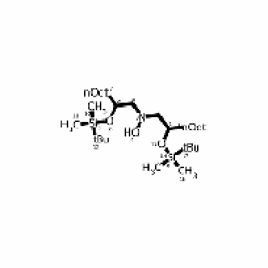 CCCCCCCCC(CN(O)CC(CCCCCCCC)O[Si](C)(C)C(C)(C)C)O[Si](C)(C)C(C)(C)C